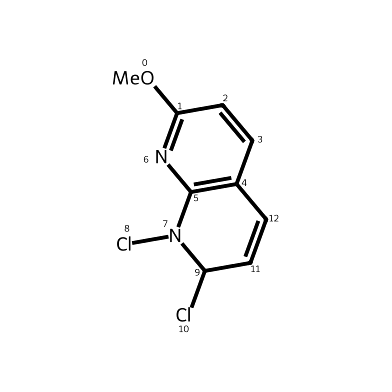 COc1ccc2c(n1)N(Cl)C(Cl)C=C2